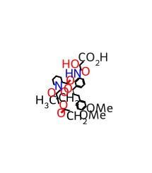 C=CC(=O)OCC(C)(C)C(=O)C(=O)N1CCCCC1C(=O)O[C@H](CCc1ccc(OC)c(OC)c1)c1cccc(NC(=O)C(O)CC(=O)O)c1